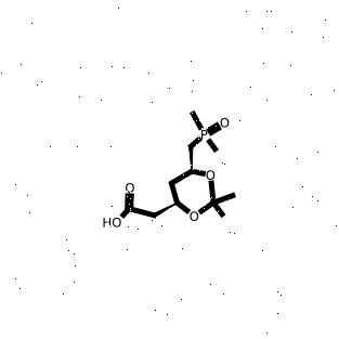 CC1(C)O[C@@H](CC(=O)O)C[C@@H](CP(C)(C)=O)O1